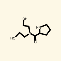 O=C(C1CCCN1)N(CCO)CCO